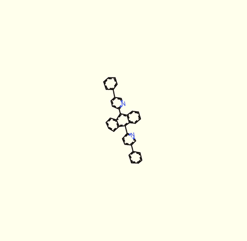 c1ccc(-c2ccc(-c3c4ccccc4c(-c4ccc(-c5ccccc5)cn4)c4ccccc34)nc2)cc1